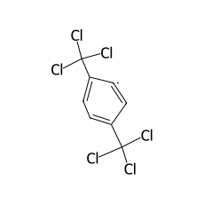 ClC(Cl)(Cl)c1[c]cc(C(Cl)(Cl)Cl)cc1